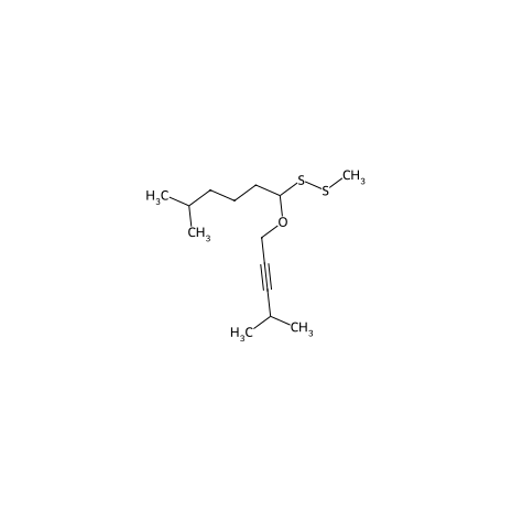 CSSC(CCCC(C)C)OCC#CC(C)C